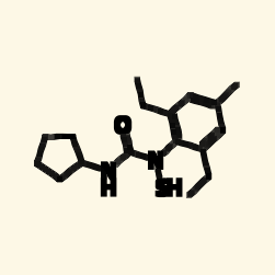 CCc1cc(C)cc(CC)c1N(S)C(=O)NC1CCCC1